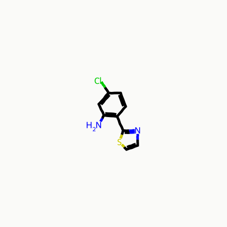 Nc1cc(Cl)ccc1-c1nccs1